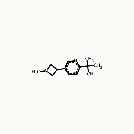 CN1CC(c2ccc(C(C)(C)C)nc2)C1